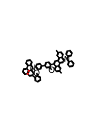 Cc1ccc2c(N(c3ccccc3)c3ccccc3)cc3c4cc(C)cc5c4c(cc3c2c1)-c1ccc(-c2ccc(N(c3ccccc3-c3ccccc3)c3cccc4c3oc3ccccc34)cc2)cc1O5